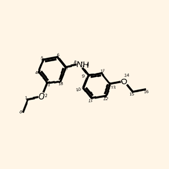 CCOc1cccc(Nc2cccc(OCC)c2)c1